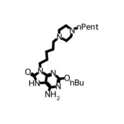 CCCCCN1CCN(CCCCCn2c(=O)[nH]c3c(N)nc(OCCCC)nc32)CC1